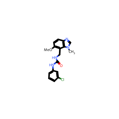 COc1ccc2ncn(C)c2c1CNC(=O)Nc1cccc(Cl)c1